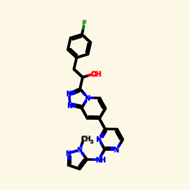 Cn1nccc1Nc1nccc(-c2ccn3c(C(O)Cc4ccc(F)cc4)nnc3c2)n1